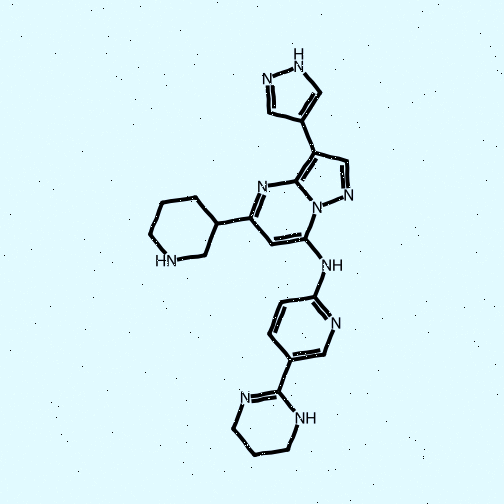 c1cc(Nc2cc(C3CCCNC3)nc3c(-c4cn[nH]c4)cnn23)ncc1C1=NCCCN1